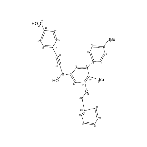 CC(C)(C)c1ccc(-c2cc(C(O)C#Cc3ccc(C(=O)O)cc3)cc(OCc3ccccc3)c2C(C)(C)C)cc1